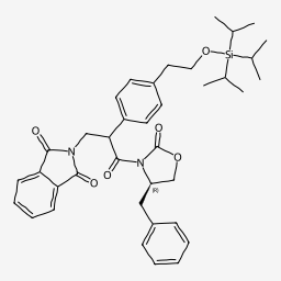 CC(C)[Si](OCCc1ccc(C(CN2C(=O)c3ccccc3C2=O)C(=O)N2C(=O)OC[C@H]2Cc2ccccc2)cc1)(C(C)C)C(C)C